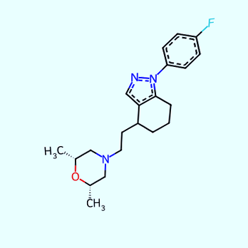 C[C@@H]1CN(CCC2CCCc3c2cnn3-c2ccc(F)cc2)C[C@H](C)O1